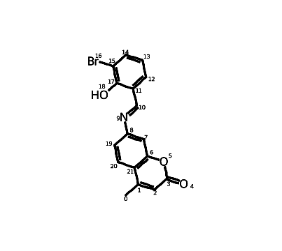 Cc1cc(=O)oc2cc(N=Cc3cccc(Br)c3O)ccc12